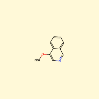 CCCCOc1cncc2ccccc12